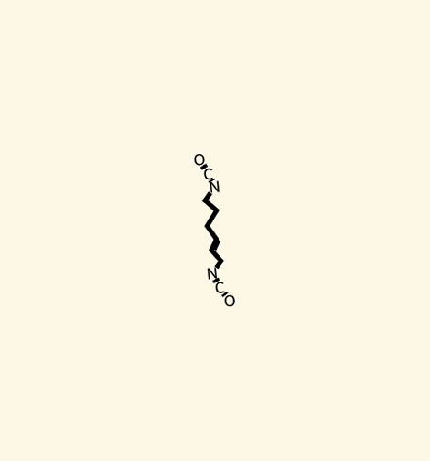 O=C=NCC=CCCCN=C=O